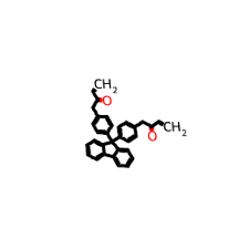 C=CC(=O)Cc1ccc(C2(c3ccc(CC(=O)C=C)cc3)c3ccccc3-c3ccccc32)cc1